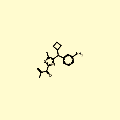 C=C(C)C(=O)c1nc(C(c2cccc(N)c2)C2CCC2)c(C)s1